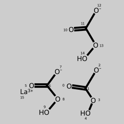 O=C([O-])OO.O=C([O-])OO.O=C([O-])OO.[La+3]